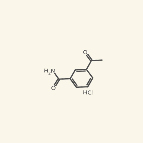 CC(=O)c1cccc(C(N)=O)c1.Cl